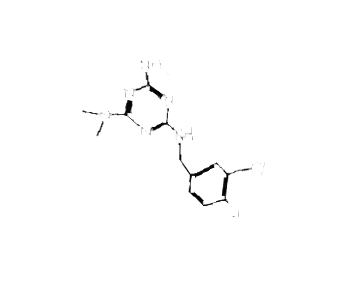 CN(C)c1nc(N)nc(NCc2ccc(Cl)c(Cl)c2)n1